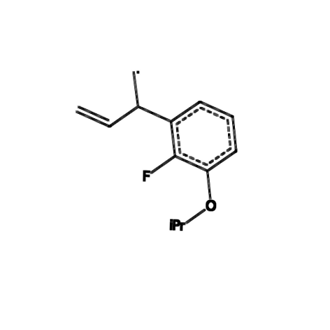 [CH2]C(C=C)c1cccc(OC(C)C)c1F